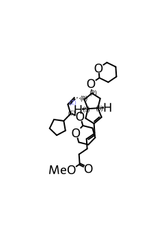 COC(=O)CCC=CC1=C[C@H]2C[C@@H](OC3CCCCO3)[C@@H](/C=C\[C@@H](OC3CCCCO3)C3CCCC3)[C@H]2C1